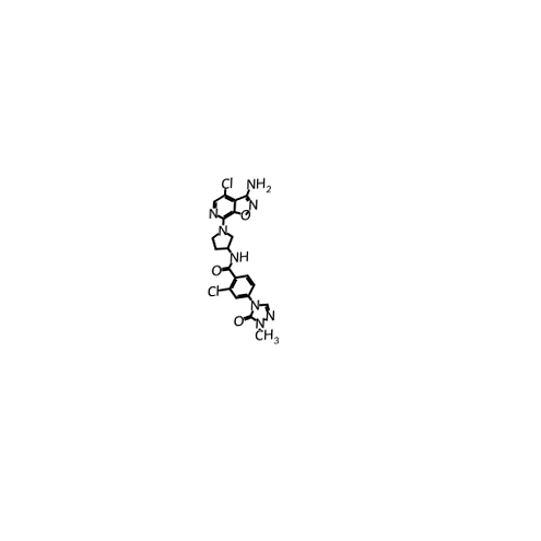 Cn1ncn(-c2ccc(C(=O)NC3CCN(c4ncc(Cl)c5c(N)noc45)C3)c(Cl)c2)c1=O